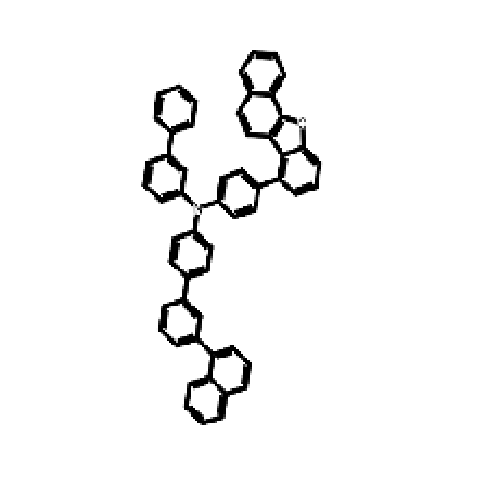 c1ccc(-c2cccc(N(c3ccc(-c4cccc(-c5cccc6ccccc56)c4)cc3)c3ccc(-c4cccc5oc6c7ccccc7ccc6c45)cc3)c2)cc1